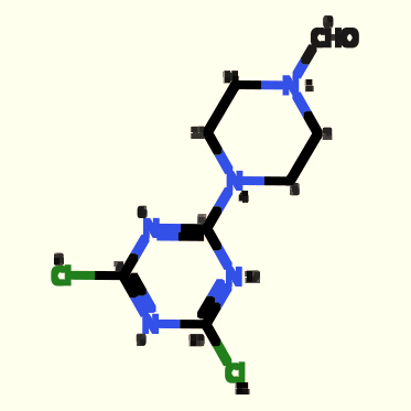 O=CN1CCN(c2nc(Cl)nc(Cl)n2)CC1